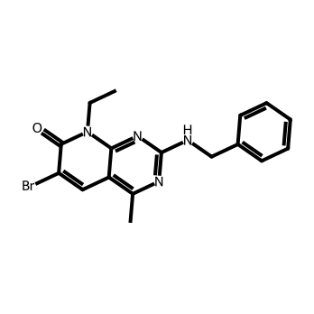 CCn1c(=O)c(Br)cc2c(C)nc(NCc3ccccc3)nc21